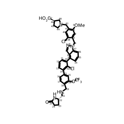 COc1cc(Cn2ncc3c(-c4cccc(-c5ccc(CNC[C@@H]6CCC(=O)N6)c(OC(F)(F)F)c5)c4Cl)cccc32)c(Cl)cc1CN1CC[C@@H](C(=O)O)C1